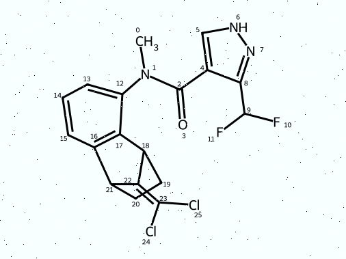 CN(C(=O)c1c[nH]nc1C(F)F)c1cccc2c1C1CCC2C1=C(Cl)Cl